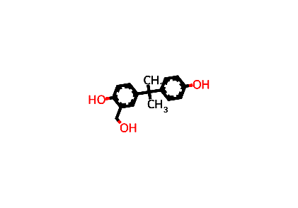 CC(C)(c1ccc(O)cc1)c1ccc(O)c(CO)c1